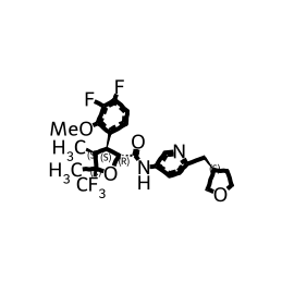 COc1c([C@H]2[C@H](C(=O)Nc3ccc(C[C@H]4CCOC4)nc3)O[C@@](C)(C(F)(F)F)[C@H]2C)ccc(F)c1F